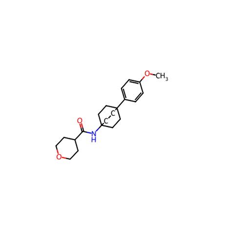 COc1ccc(C23CCC(NC(=O)C4CCOCC4)(CC2)CC3)cc1